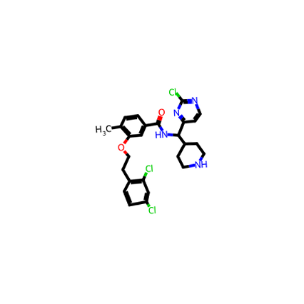 Cc1ccc(C(=O)NC(c2ccnc(Cl)n2)C2CCNCC2)cc1OCCc1ccc(Cl)cc1Cl